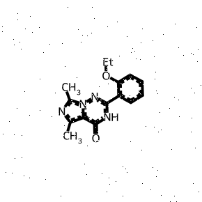 CCOc1ccccc1-c1nn2c(C)nc(C)c2c(=O)[nH]1